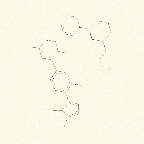 COCCC1CN(c2cccc(-c3cc(F)cc(-c4ccc(-n5ccn(C)c5=O)c(Cl)c4)c3O)c2)CCN1